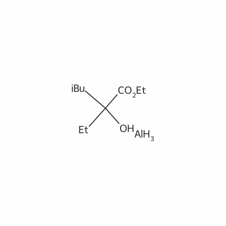 CCOC(=O)C(O)(CC)C(C)CC.[AlH3]